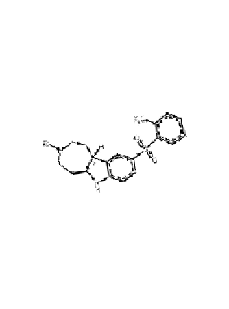 CCN1CCC2Nc3ccc(S(=O)(=O)c4ccccc4C(F)(F)F)cc3[C@H]2CC1